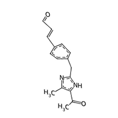 CC(=O)c1[nH]c(Cc2ccc(/C=C/C=O)cc2)nc1C